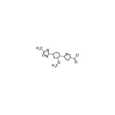 COc1cc(-c2noc(C)n2)ccc1-c1ccc(C(=O)Cl)cn1